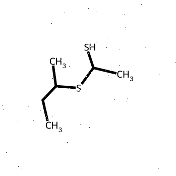 CCC(C)SC(C)S